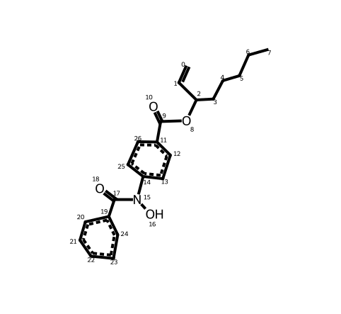 C=CC(CCCCC)OC(=O)c1ccc(N(O)C(=O)c2ccccc2)cc1